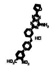 Cl.Nc1nc(N2CCC[C@@H](CN3CCN(c4ccc(C(=O)O)c([N+](=O)[O-])c4)CC3)C2)nc2nc(-c3ccco3)nn12